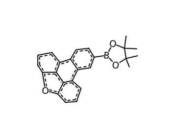 CC1(C)OB(c2ccc3c(c2)c2cccc4oc5cccc3c5c42)OC1(C)C